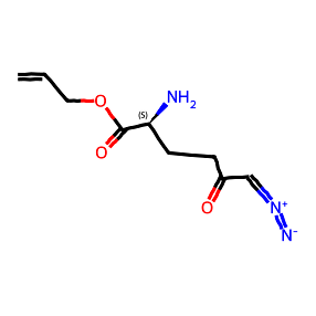 C=CCOC(=O)[C@@H](N)CCC(=O)C=[N+]=[N-]